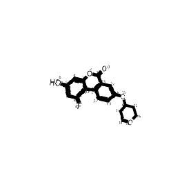 O=c1oc2cc(O)cc(F)c2c2ccc(OC3CCOCC3)cc12